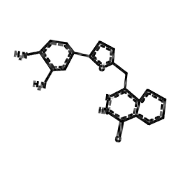 Nc1ccc(-c2ccc(Cc3n[nH]c(=O)c4ccccc34)o2)cc1N